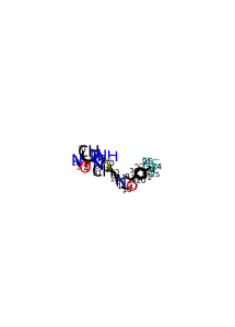 Cc1ncoc1C1=NNC(SCCCN2CCOC(c3ccc(C(F)(F)F)cc3)C2)N1C